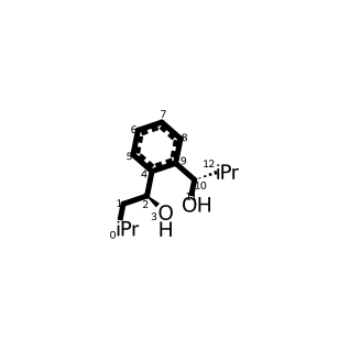 CC(C)C[C@H](O)c1ccccc1[C@@H](O)C(C)C